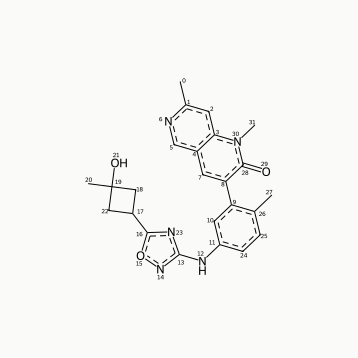 Cc1cc2c(cn1)cc(-c1cc(Nc3noc(C4CC(C)(O)C4)n3)ccc1C)c(=O)n2C